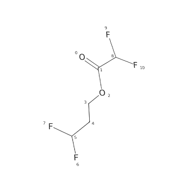 O=C(OCCC(F)F)C(F)F